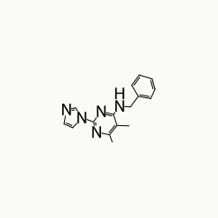 Cc1nc(-n2ccnc2)nc(NCc2ccccc2)c1C